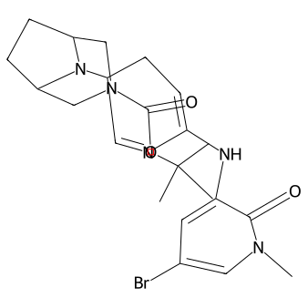 Cn1cc(Br)cc(NC2=CCC(N3C4CCC3CN(C(=O)OC(C)(C)C)C4)C=N2)c1=O